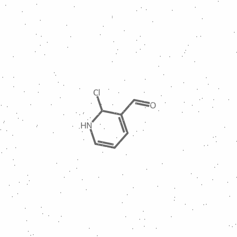 O=CC1=CC=CNC1Cl